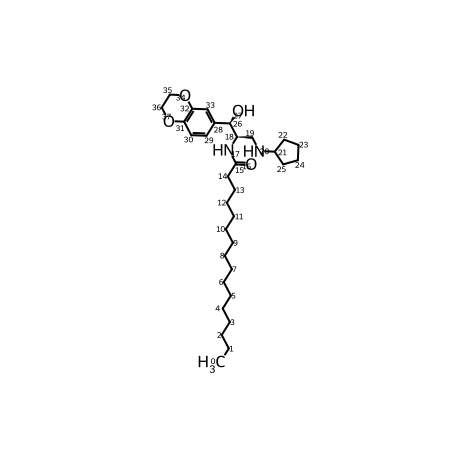 CCCCCCCCCCCCCCCC(=O)N[C@H](CNC1CCCC1)[C@H](O)c1ccc2c(c1)OCCO2